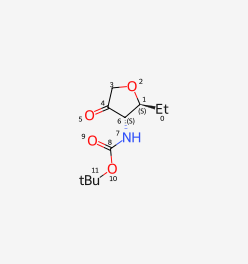 CC[C@@H]1OCC(=O)[C@H]1NC(=O)OC(C)(C)C